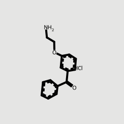 Cl.NCCOc1cccc(C(=O)c2ccccc2)c1